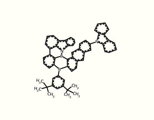 CC(C)(C)c1cc(N2c3cccc4c3B(c3c2ccc2cc5cc(-n6c7ccccc7c7ccccc76)ccc5cc32)n2c3ccccc3c3cccc-4c32)cc(C(C)(C)C)c1